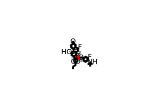 CCCC1O[C@@H]2C[C@H]3[C@@H]4C[C@H](F)C5=CC(=O)C=C[C@]5(C)[C@@]4(F)[C@@H](O)C[C@]3(C)[C@]2(C(=O)COc2ccc(NC(C)(C)C)c(F)c2)O1